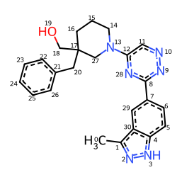 Cc1n[nH]c2ccc(-c3nncc(N4CCCC(CO)(Cc5ccccc5)C4)n3)cc12